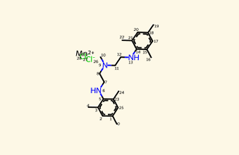 Cc1cc(C)c(NCCN(C)CCNc2c(C)cc(C)cc2C)c(C)c1.[Cl-].[Cl-].[Mn+2]